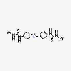 CC(C)NC(=S)Nc1ccc(/C=C/c2ccc(NC(=S)NC(C)C)cc2)cc1